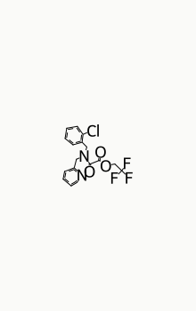 O=C(OCC(F)(F)F)C(=O)N(Cc1ccccn1)Cc1ccccc1Cl